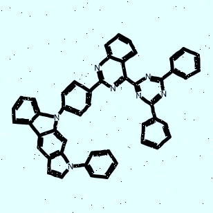 c1ccc(-c2nc(-c3ccccc3)nc(-c3nc(-c4ccc(-n5c6ccccc6c6cc7ccn(-c8ccccc8)c7cc65)cc4)nc4ccccc34)n2)cc1